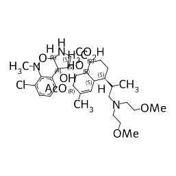 COCCN(CCOC)CC(C)[C@@H]1CC[C@@H](C)[C@]2(O)C([C@H]3[C@@H](C(=O)O)N[C@@H]4ON(C)c5c(Cl)cccc5[C@@]43O)[C@@H](OC(C)=O)C(C)=C[C@H]12